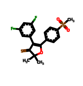 CC1(C)OC(c2ccc(S(C)(=O)=O)cc2)=C(c2cc(F)cc(F)c2)C1=S